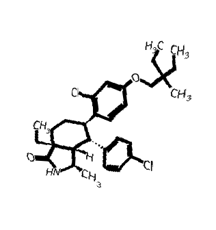 CCC(C)(CC)COc1ccc([C@@H]2CC[C@@]3(CC)C(=O)N[C@H](C)[C@H]3[C@H]2c2ccc(Cl)cc2)c(Cl)c1